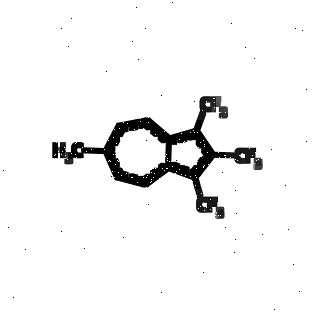 Cc1ccc2c(C(F)(F)F)c(C(F)(F)F)c(C(F)(F)F)c-2cc1